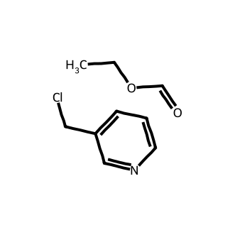 CCOC=O.ClCc1cccnc1